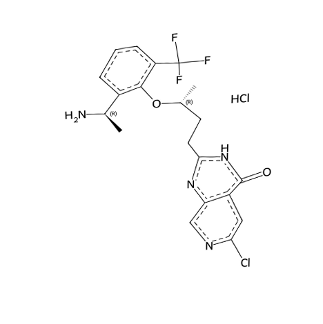 C[C@H](CCc1nc2cnc(Cl)cc2c(=O)[nH]1)Oc1c([C@@H](C)N)cccc1C(F)(F)F.Cl